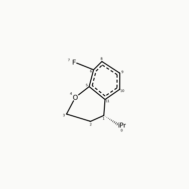 CC(C)[C@@H]1CCOc2c(F)cccc21